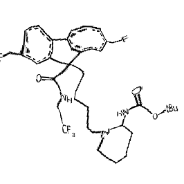 CC(C)(C)OC(=O)NC1CCCCN1CCCCC1(C(=O)NCC(F)(F)F)c2cc(F)ccc2-c2ccc(F)cc21